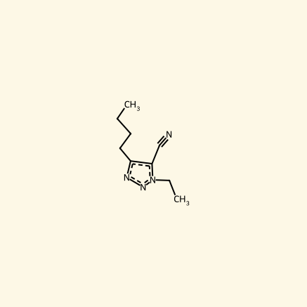 CCCCc1nnn(CC)c1C#N